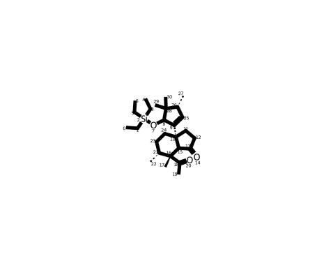 CC[Si](CC)(CC)OC1C([C@]23CCC(=O)C2[C@](C)(C(C)=O)[C@H](C)CC3)=C[C@@H](C)C1(C)C